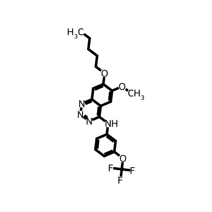 CCCCCOc1cc2nnnc(Nc3cccc(OC(F)(F)F)c3)c2cc1OC